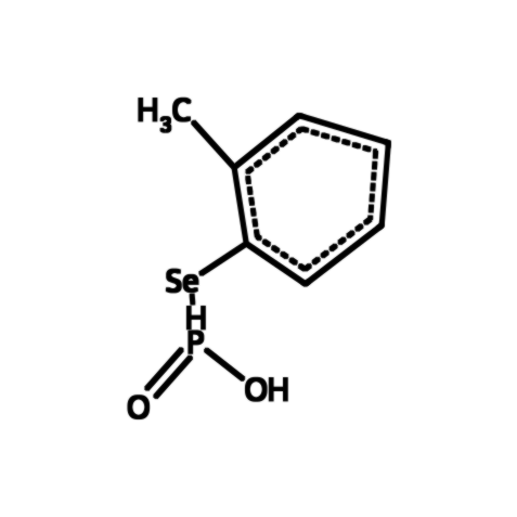 Cc1ccccc1[Se][PH](=O)O